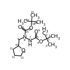 CC(C)(C)OC(=O)NN(CC1CCCO1)C(=O)OC(C)(C)C